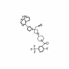 N#CCC1(n2ccc(-c3ncnc4[nH]ccc34)c2)CN(C2CCN(C(=O)c3cc(C(F)(F)F)ccc3F)CC2)C1